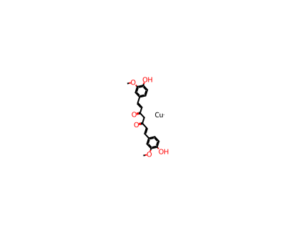 COc1cc(C=CC(=O)CC(=O)C=Cc2ccc(O)c(OC)c2)ccc1O.[Cu]